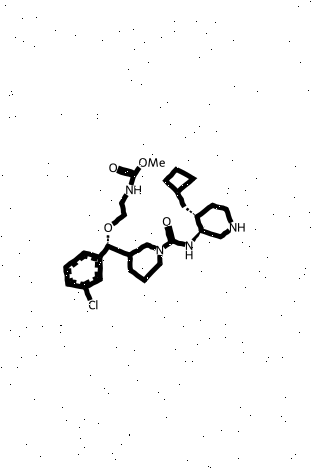 COC(=O)NCCO[C@@H](c1cccc(Cl)c1)C1CCCN(C(=O)N[C@@H]2CNCC[C@H]2CC2CCC2)C1